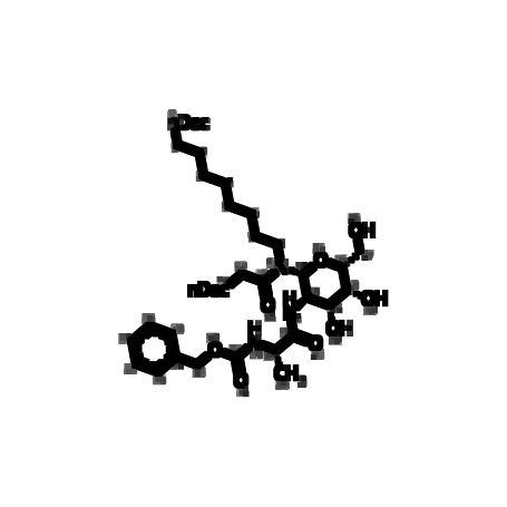 CCCCCCCCCCCCCCCCCCN(C(=O)CCCCCCCCCCC)[C@@H]1O[C@H](CO)[C@H](O)[C@H](O)[C@H]1NC(=O)[C@H](C)NC(=O)OCc1ccccc1